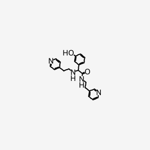 O=C(NCCc1cccnc1)C(NCCc1ccncc1)c1cccc(O)c1